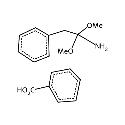 COC(N)(Cc1ccccc1)OC.O=C(O)c1ccccc1